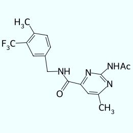 CC(=O)Nc1nc(C)cc(C(=O)NCc2ccc(C)c(C(F)(F)F)c2)n1